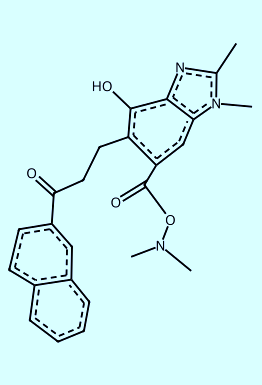 Cc1nc2c(O)c(CCC(=O)c3ccc4ccccc4c3)c(C(=O)ON(C)C)cc2n1C